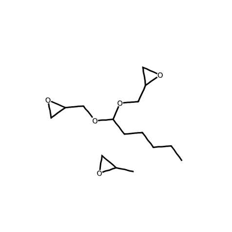 CC1CO1.CCCCCC(OCC1CO1)OCC1CO1